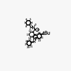 CN(Cc1ccccc1)C(=O)C1CCCc2c1c1cc(C(C)(C)C)ccc1n2Cc1ccccc1